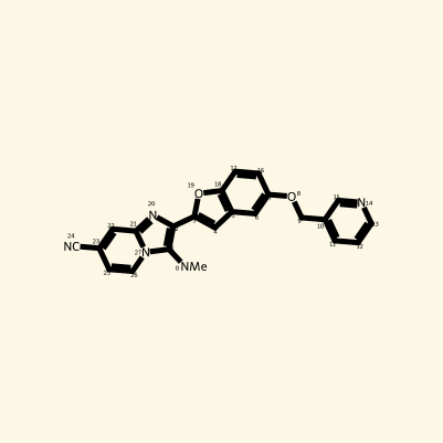 CNc1c(-c2cc3cc(OCc4cccnc4)ccc3o2)nc2cc(C#N)ccn12